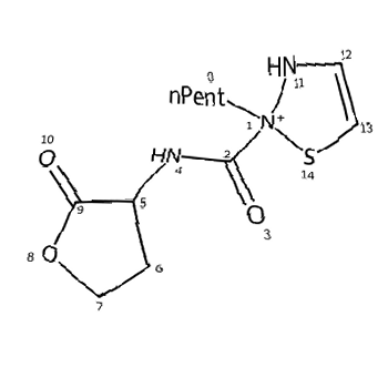 CCCCC[N+]1(C(=O)NC2CCOC2=O)NC=CS1